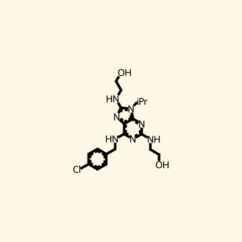 CC(C)n1c(NCCO)nc2c(NCc3ccc(Cl)cc3)nc(NCCO)nc21